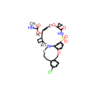 CNC(=O)O[C@H]1/C=C/COC2(CC2)C(=O)NS(=O)(=O)c2ccc3c(c2)N(CCCCc2cc(Cl)ccc2CO3)C[C@@H]2CC[C@H]21